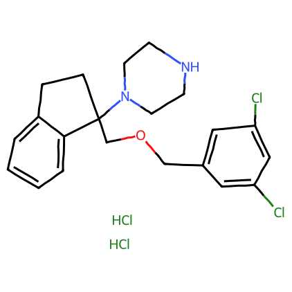 Cl.Cl.Clc1cc(Cl)cc(COCC2(N3CCNCC3)CCc3ccccc32)c1